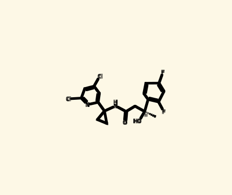 C[C@](O)(CC(=O)NC1(c2cc(Cl)cc(Cl)n2)CC1)c1ccc(F)cc1F